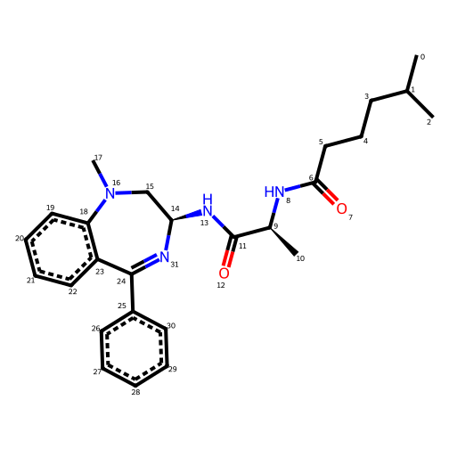 CC(C)CCCC(=O)N[C@@H](C)C(=O)N[C@@H]1CN(C)c2ccccc2C(c2ccccc2)=N1